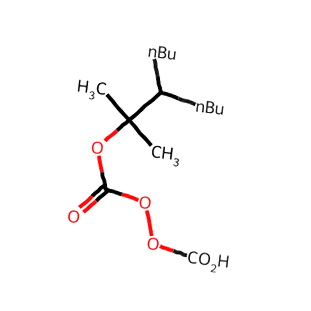 CCCCC(CCCC)C(C)(C)OC(=O)OOC(=O)O